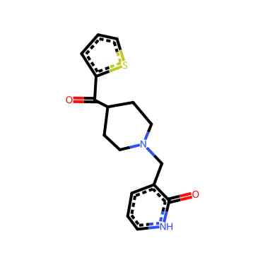 O=C(c1cccs1)C1CCN(Cc2ccc[nH]c2=O)CC1